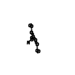 C=CC(=O)OCCCCCCOc1ccc(COc2ccc(OCc3ccc(OCCCCCCOC(=O)C=C)cc3)c(C(=O)OCCCC#N)c2)cc1